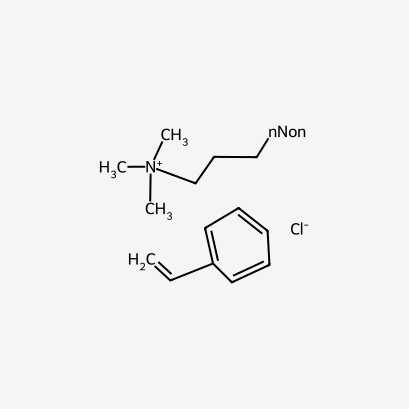 C=Cc1ccccc1.CCCCCCCCCCCC[N+](C)(C)C.[Cl-]